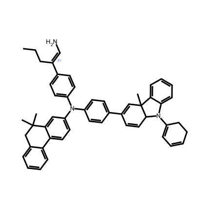 CCC/C(=C\N)c1ccc(N(c2ccc(C3=CC4(C)c5ccccc5N(C5=CC=CCC5)C4C=C3)cc2)c2ccc3c(c2)C(C)(C)Cc2ccccc2-3)cc1